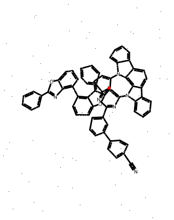 N#Cc1ccc(-c2cccc(-c3nc(-c4ccccc4)nc(-n4c5ccccc5c5ccc6c7ccccc7n(-c7ccc8c(c7)oc7cccc(-c9cccc%10oc(-c%11ccccc%11)nc9%10)c78)c6c54)n3)c2)cc1